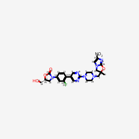 CC1(CN2CCN(c3ncc(-c4ccc(N5C[C@H](CO)OC5=O)cc4F)cn3)CC2)Cn2cc([N+](=O)[O-])nc2O1